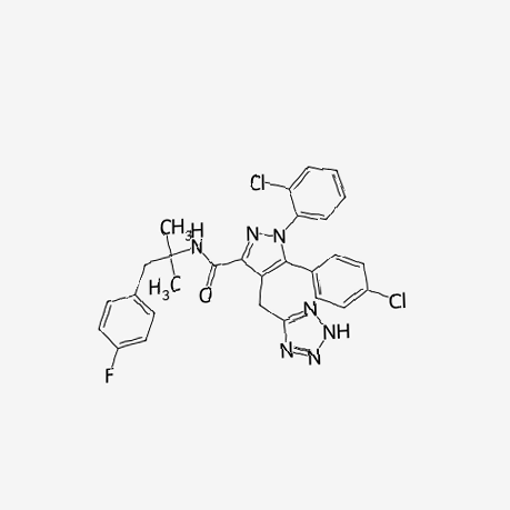 CC(C)(Cc1ccc(F)cc1)NC(=O)c1nn(-c2ccccc2Cl)c(-c2ccc(Cl)cc2)c1Cc1nn[nH]n1